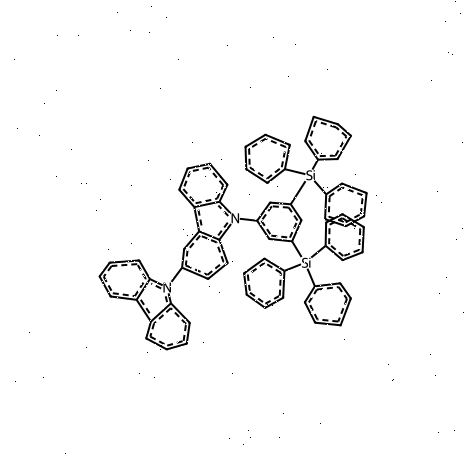 c1ccc([Si](c2ccccc2)(c2ccccc2)c2cc(-n3c4ccccc4c4cc(-n5c6ccccc6c6ccccc65)ccc43)cc([Si](c3ccccc3)(c3ccccc3)c3ccccc3)c2)cc1